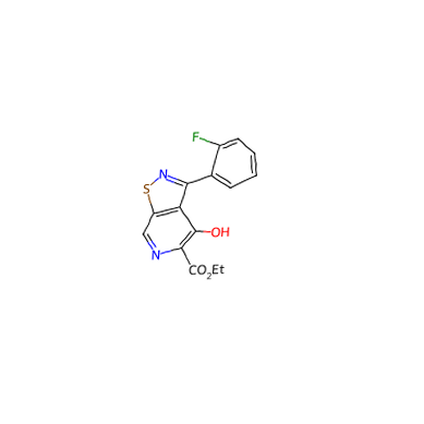 CCOC(=O)c1ncc2snc(-c3ccccc3F)c2c1O